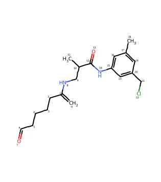 C=C(CCCCC=O)NCC(C)C(=O)Nc1cc(C)cc(CCl)c1